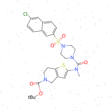 CN(C(=O)N1CCN(S(=O)(=O)c2ccc3cc(Cl)ccc3c2)CC1)c1cc2c(s1)CCN(C(=O)OC(C)(C)C)C2